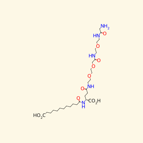 NCC(=O)NCCOCCNC(=O)COCCOCCNC(=O)CC[C@H](NC(=O)CCCCCCCCCCC(=O)O)C(=O)O